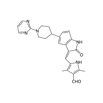 Cc1[nH]c(/C=C2\C(=O)Nc3ccc(C4CCN(c5ncccn5)CC4)cc32)c(C)c1C=O